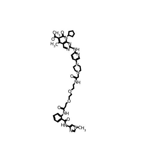 CC(=O)c1c(C)c2cnc(Nc3ccc(N4CCN(CC(=O)NCCOCCOCCC(=O)Nc5ccccc5C(=O)Nc5cn(C)cn5)CC4)cn3)nc2n(C2CCCC2)c1=O